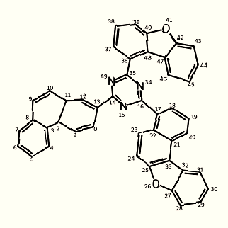 C1=CC2c3ccccc3C=CC2C=C1c1nc(-c2cccc3c2ccc2oc4ccccc4c23)nc(-c2cccc3oc4ccccc4c23)n1